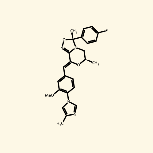 COc1cc(C=C2O[C@H](C)CN3C2=NO[C@]3(C)c2ccc(F)cc2)ccc1-n1cnc(C)c1